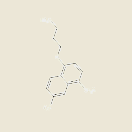 Nc1ccc2c(OCCCS(=O)(=O)O)ccc(S(=O)(=O)O)c2c1